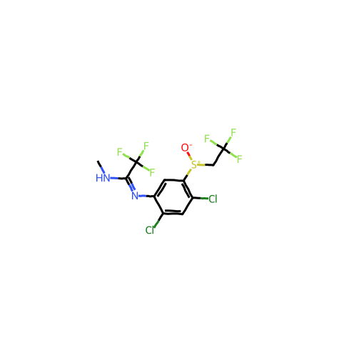 CN/C(=N/c1cc([S+]([O-])CC(F)(F)F)c(Cl)cc1Cl)C(F)(F)F